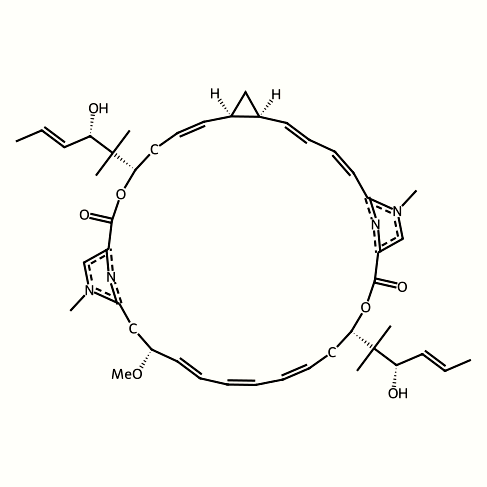 C/C=C/[C@H](O)C(C)(C)[C@@H]1C\C=C/C=C\C=C\[C@H](OC)Cc2nc(cn2C)C(=O)O[C@H](C(C)(C)[C@@H](O)/C=C/C)C/C=C\[C@H]2C[C@H]2/C=C/C=C\c2nc(cn2C)C(=O)O1